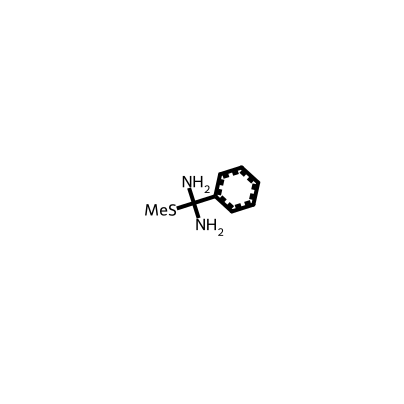 CSC(N)(N)c1ccccc1